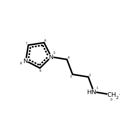 [CH2]NCCCn1ccnc1